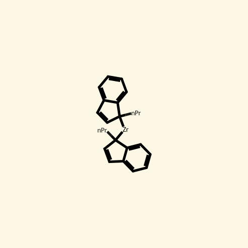 CCC[C]1([Zr][C]2(CCC)C=Cc3ccccc32)C=Cc2ccccc21